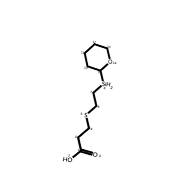 O=C(O)CCSCC[SiH2]C1CCCCO1